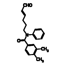 Cc1ccc(C(=O)N(CCC/C=C/C=O)c2ccccc2)cc1C